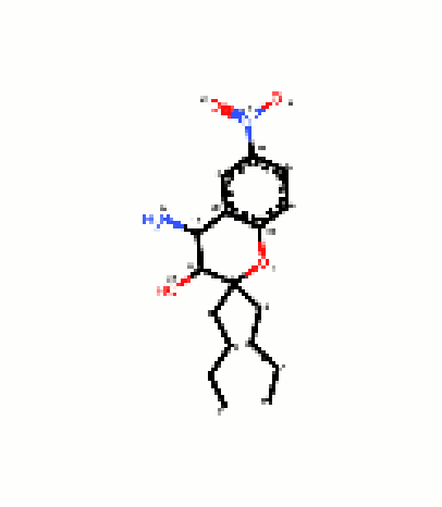 CCCCC1(CCCC)Oc2ccc([N+](=O)[O-])cc2C(N)C1O